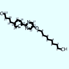 CCCCCCCCCCOc1cnc(-c2ccc(CCCCC)cc2)nc1